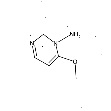 COC1=CC=NCN1N